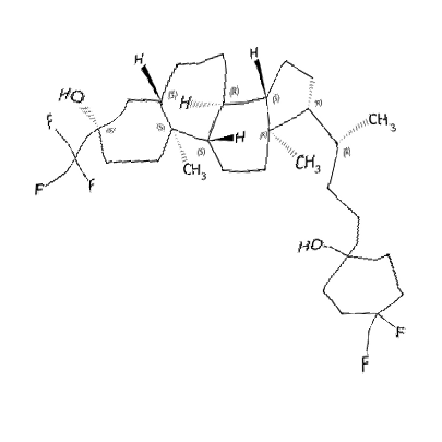 C[C@H](CCC1(O)CCC(F)(F)CC1)[C@H]1CC[C@H]2[C@@H]3CC[C@H]4C[C@](O)(C(F)(F)F)CC[C@]4(C)[C@H]3CC[C@]12C